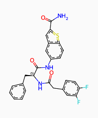 NC(=O)c1cc2cc(NC(=O)[C@H](Cc3ccccc3)NC(=O)Cc3ccc(F)c(F)c3)ccc2s1